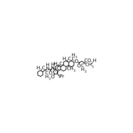 CC(C)C1=C2C3CCC4[C@@]5(C)CC[C@H](OC(=O)CC(C)(C)C(=O)O)C(C)(C)C5CC[C@@]4(C)[C@]3(C)CC[C@@]2(NC(=O)NC(C)(C)C2CCCCC2)CC1=O